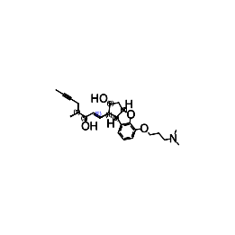 CC#CC[C@H](C)[C@H](O)/C=C/[C@@H]1[C@H]2c3cccc(OCCCN(C)C)c3O[C@H]2C[C@H]1O